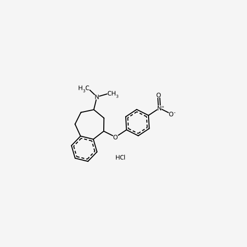 CN(C)C1CCc2ccccc2C(Oc2ccc([N+](=O)[O-])cc2)C1.Cl